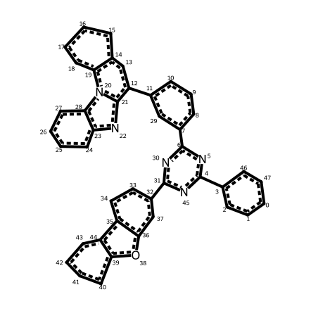 c1ccc(-c2nc(-c3cccc(-c4cc5ccccc5n5c4nc4ccccc45)c3)nc(-c3ccc4c(c3)oc3ccccc34)n2)cc1